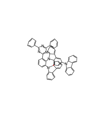 c1ccc(-c2nc(-c3ccccc3)nc(-c3cccc(-n4c5ccccc5c5ccccc54)c3-n3c4ccccc4c4cc(-n5c6ccccc6c6ccccc65)ccc43)n2)cc1